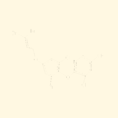 FC(F)(F)c1cnc(Oc2c(Cl)cc(OCC=C(Br)Br)cc2Br)c(Cl)c1